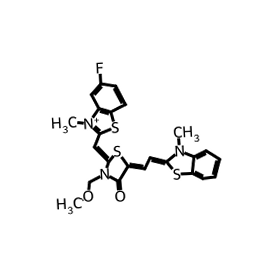 COCn1c(=O)/c(=C/C=C2\Sc3ccccc3N2C)s/c1=C\c1sc2ccc(F)cc2[n+]1C